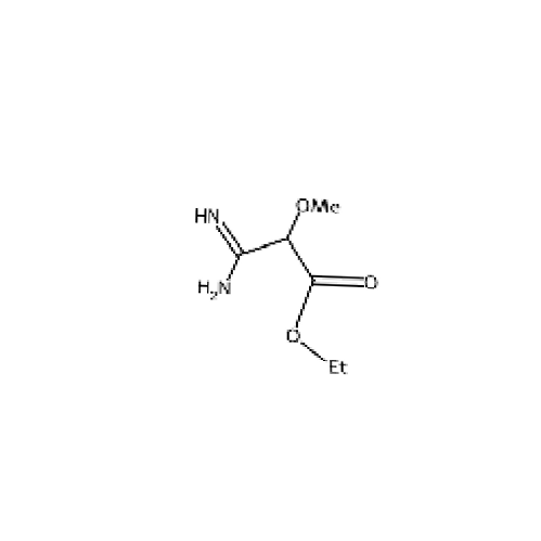 CCOC(=O)C(OC)C(=N)N